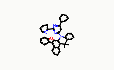 CC1(C)c2ccccc2N(c2cc(-c3ccccc3)nc(-c3ccccn3)n2)c2c1c1ccccc1c1c2oc2ccccc21